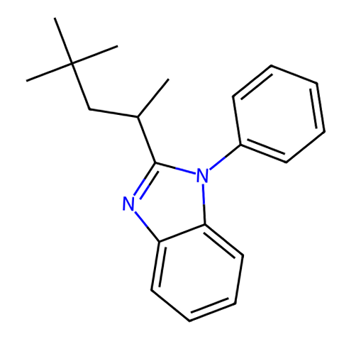 CC(CC(C)(C)C)c1nc2ccccc2n1-c1ccccc1